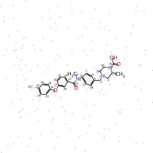 C[C@H]1CN(Cc2ccc(N(C)C(=O)c3cccc(Oc4ccc(F)cc4)c3)cc2)CCN1C(=O)O